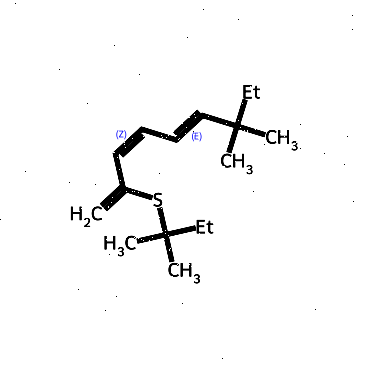 C=C(/C=C\C=C\C(C)(C)CC)SC(C)(C)CC